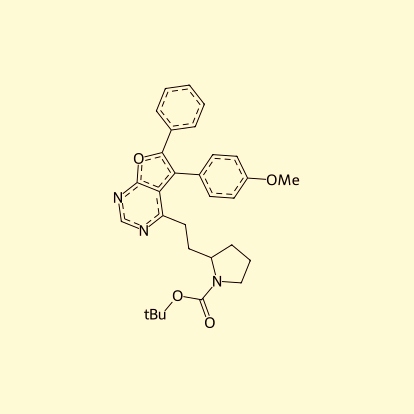 COc1ccc(-c2c(-c3ccccc3)oc3ncnc(CCC4CCCN4C(=O)OC(C)(C)C)c23)cc1